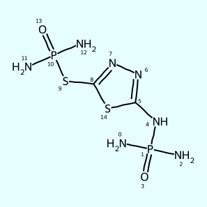 NP(N)(=O)Nc1nnc(SP(N)(N)=O)s1